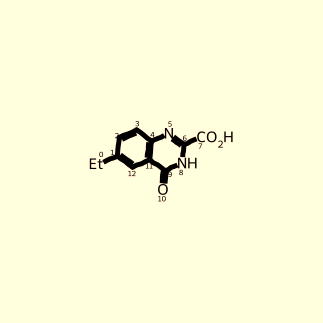 CCc1ccc2nc(C(=O)O)[nH]c(=O)c2c1